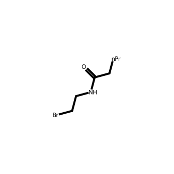 [CH2]CCCC(=O)NCCBr